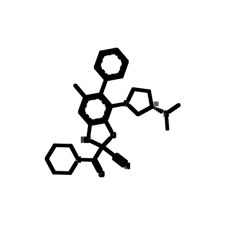 Cc1cc2c(c(N3CC[C@H](N(C)C)C3)c1-c1ccccc1)OC(C#N)(C(=O)N1CCCCC1)N2